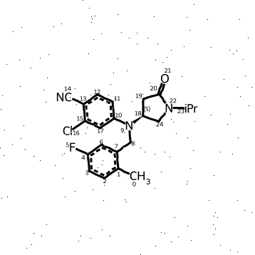 Cc1ccc(F)cc1CN(c1ccc(C#N)c(Cl)c1)[C@H]1CC(=O)N(C(C)C)C1